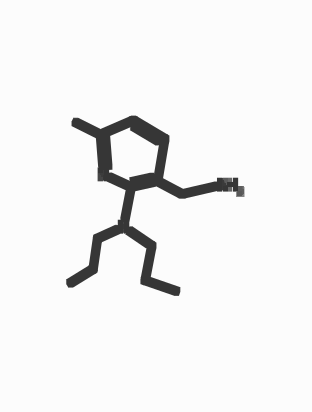 CCCN(CCC)c1nc(C)ccc1CN